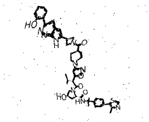 Cc1ncsc1-c1ccc(C(C)(C)NC(=O)[C@@H]2C[C@@H](O)CN2C(=O)[C@@H](c2cc(N3CCC(C(=O)N4CC(c5cc6cc(-c7ccccc7O)nnc6[nH]5)C4)CC3)no2)C(C)C)cc1